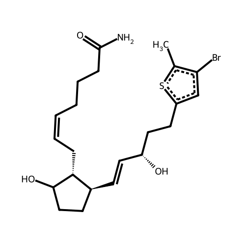 Cc1sc(CC[C@H](O)/C=C/[C@H]2CCC(O)[C@@H]2C/C=C\CCCC(N)=O)cc1Br